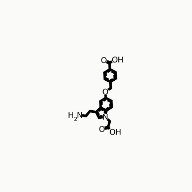 NCCc1cn(CC(=O)O)c2ccc(OCc3ccc(C(=O)O)cc3)cc12